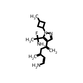 C=C(/C=C\N)CC(=C)c1cnn(C2CC(C)C2)c1C(C)(N)F